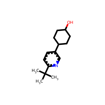 CC(C)(C)c1ccc(C2CCC(O)CC2)cn1